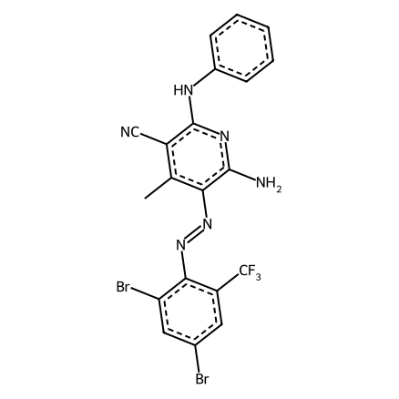 Cc1c(C#N)c(Nc2ccccc2)nc(N)c1N=Nc1c(Br)cc(Br)cc1C(F)(F)F